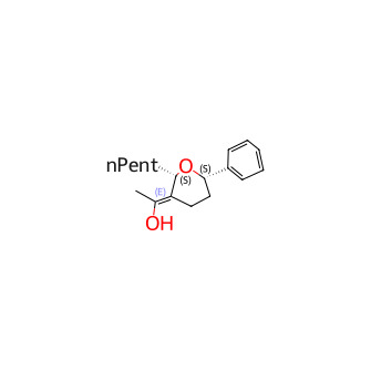 CCCCC[C@@H]1O[C@H](c2ccccc2)CC/C1=C(/C)O